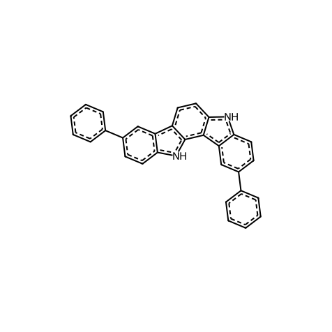 c1ccc(-c2ccc3[nH]c4c(ccc5[nH]c6ccc(-c7ccccc7)cc6c54)c3c2)cc1